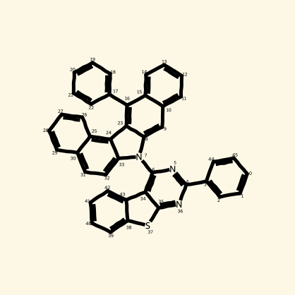 c1ccc(-c2nc(-n3c4cc5ccccc5c(-c5ccccc5)c4c4c5ccccc5ccc43)c3c(n2)sc2ccccc23)cc1